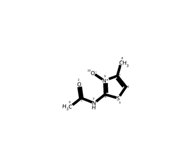 CC(=O)Nc1scc(C)[n+]1[O-]